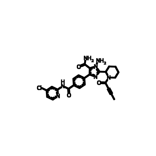 CC#CC(=O)N1CCCCC1c1nc(-c2ccc(C(=O)Nc3cc(Cl)ccn3)cc2)c(C(N)=O)n1N